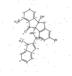 CC(C)c1ccc2c(c1)OC1(O)C3=CCCC(N)=C3C(=O)C21NC(=O)c1cc2ccccc2n1C